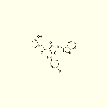 O=C(O[C@@H]1CCC[C@@H]1O)C1=C(Nc2ccc(F)cc2)O/C(=C\c2c[nH]c3ncccc23)C1=O